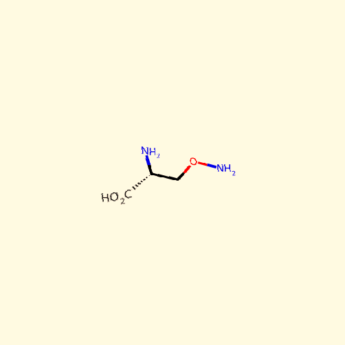 NOC[C@@H](N)C(=O)O